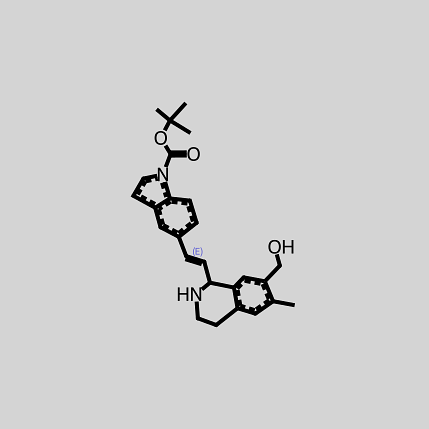 Cc1cc2c(cc1CO)C(/C=C/c1ccc3c(ccn3C(=O)OC(C)(C)C)c1)NCC2